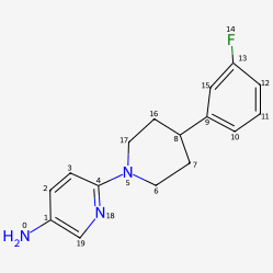 Nc1ccc(N2CCC(c3cccc(F)c3)CC2)nc1